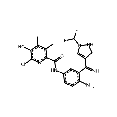 Cc1c(C(=O)Nc2ccc(N)c(C(=N)C3=CN(C(F)F)NC3)c2)nc(Cl)c(C#N)c1C